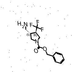 NC[C@H]1CN(C(=O)OCc2ccccc2)C[C@@H]1C(F)(F)F